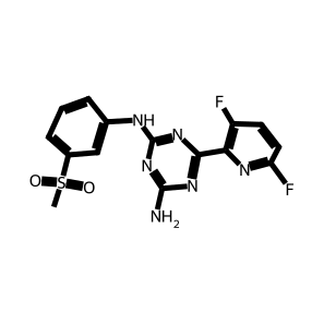 CS(=O)(=O)c1cccc(Nc2nc(N)nc(-c3nc(F)ccc3F)n2)c1